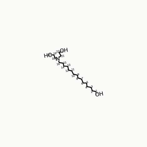 OCCCCCCCCCCCCCCCCN(CCO)CCO